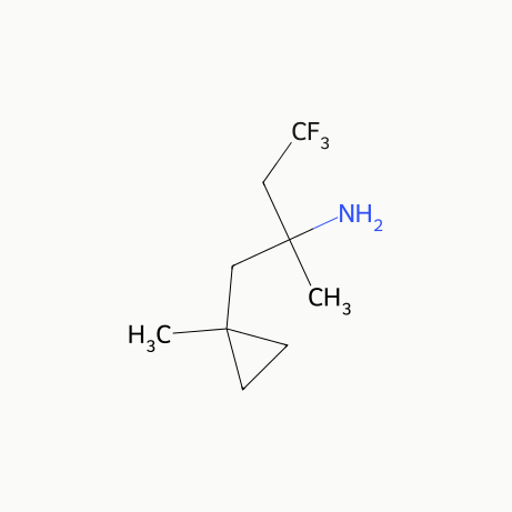 CC(N)(CC(F)(F)F)CC1(C)CC1